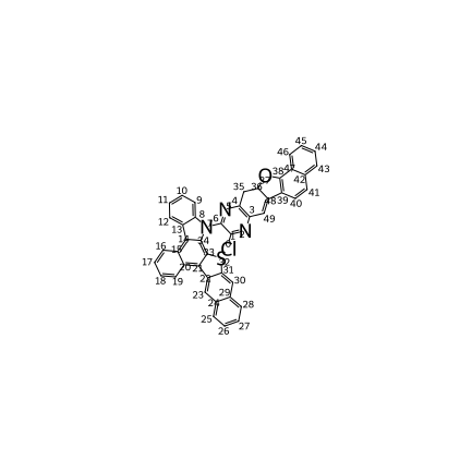 Clc1nc2c(nc1-n1c3ccccc3c3c4ccccc4c4c5cc6ccccc6cc5sc4c31)CC1Oc3c(ccc4ccccc34)C1=C2